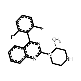 C[C@@H]1CNCCN1c1nc(-c2c(F)cccc2F)c2ccccc2n1